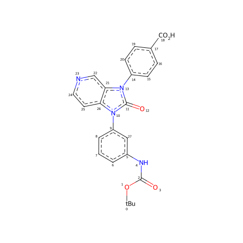 CC(C)(C)OC(=O)Nc1cccc(-n2c(=O)n(-c3ccc(C(=O)O)cc3)c3cnccc32)c1